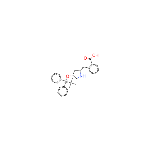 CC(C)(C)[Si](O[C@H]1CN[C@H](Cc2ccccc2C(=O)O)C1)(c1ccccc1)c1ccccc1